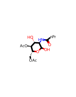 CCCC(=O)N[C@H]1C(O)O[C@H](COC(C)=O)[C@@H](OC(C)=O)[C@@H]1O